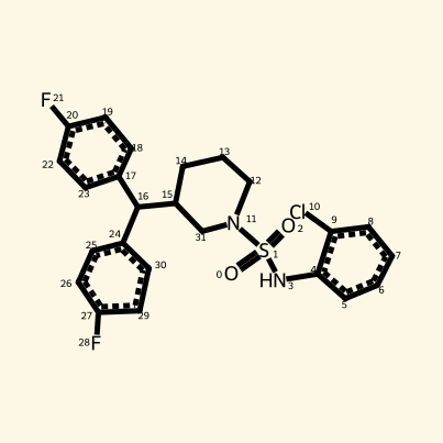 O=S(=O)(Nc1ccccc1Cl)N1CCCC(C(c2ccc(F)cc2)c2ccc(F)cc2)C1